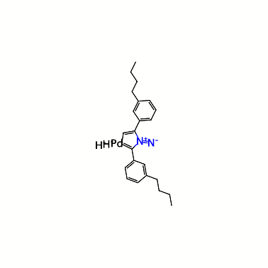 CCCCc1cccc(C2=CC=C(c3cccc(CCCC)c3)[N+]2=[N-])c1.[H-].[H-].[Pd]